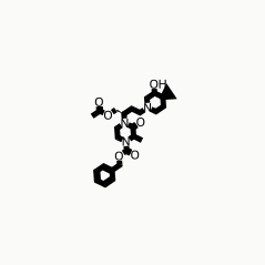 CC(=O)OC[C@H](CCN1CCC2(CC2)C(O)C1)N1CCN(C(=O)OCc2ccccc2)C(C)C1=O